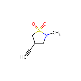 C#CC1CN(C)S(=O)(=O)C1